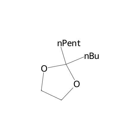 CCCCCC1(CCCC)OCCO1